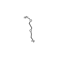 CCCOCCOCC[18F]